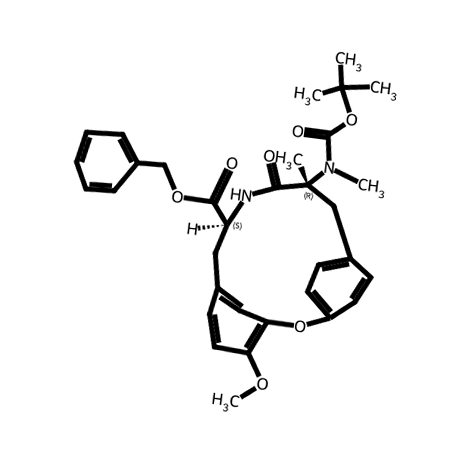 COc1ccc2cc1Oc1ccc(cc1)C[C@@](C)(N(C)C(=O)OC(C)(C)C)C(=O)N[C@H](C(=O)OCc1ccccc1)C2